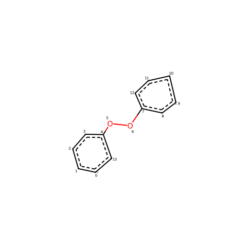 [c]1cccc(OOc2c[c]ccc2)c1